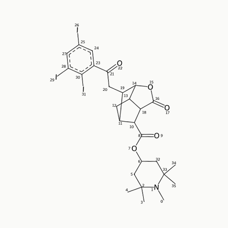 CN1C(C)(C)CC(OC(=O)C2C3CC4C(OC(=O)C42)C3CC(=O)c2cc(I)cc(I)c2I)CC1(C)C